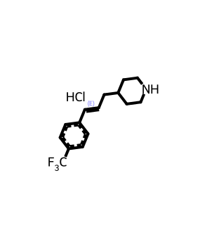 Cl.FC(F)(F)c1ccc(/C=C/CC2CCNCC2)cc1